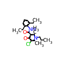 CCCn1c(C)c(Cl)c(=O)c(C(=O)Nc2c(CC)cccc2CC)c1C